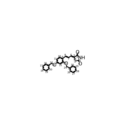 O=C1NC(=O)C(=CC=Cc2ccc(OCc3ccccc3)cc2OCc2ccccc2)S1